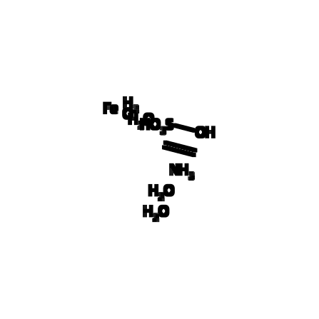 C=C.N.O.O.O.O.O=S(=O)(O)O.[Fe]